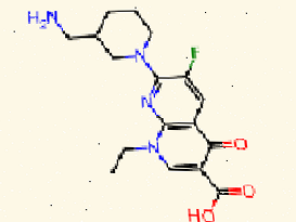 CCn1cc(C(=O)O)c(=O)c2cc(F)c(N3CCCC(CN)C3)nc21